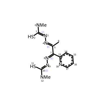 CN/C(S)=N/N=C(C)/C(=N/N=C(\S)NC)c1ccccn1